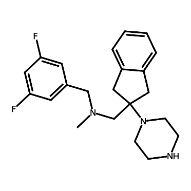 CN(Cc1cc(F)cc(F)c1)CC1(N2CCNCC2)Cc2ccccc2C1